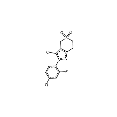 O=S1(=O)CCc2nn(-c3ccc(Cl)cc3F)c(Cl)c2C1